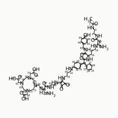 CCC(=O)NCCNC(=O)/N=C(/N)NCCC[C@@H](NC(=O)[C@@H](c1ccccc1)c1ccc(NCCCNc2c(NCCNC(=O)[C@@H](CN)NCN3CCN(CC(=O)O)CCN(CC(=O)O)CCN(CC(=O)O)CC3)c(=O)c2=O)cc1)C(=O)NCc1ccc(O)cc1